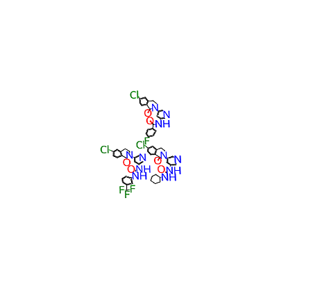 O=C(Nc1cncc(N2CCc3cc(Cl)ccc3C2=O)c1)NC1CCCCC1.O=C(Nc1cncc(N2CCc3cc(Cl)ccc3C2=O)c1)Nc1cccc(C(F)(F)F)c1.O=C(Nc1cncc(N2CCc3cc(Cl)ccc3C2=O)c1)c1ccc(F)cc1